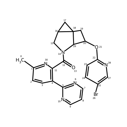 Cc1ccc(-c2ncccn2)c(C(=O)N2CC3CC34CC(Oc3ccc(Br)cn3)C24)n1